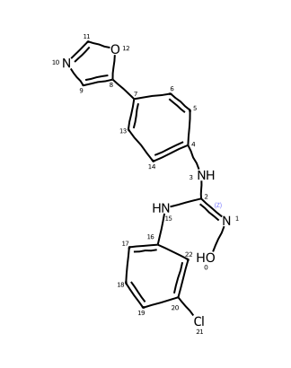 O/N=C(/Nc1ccc(-c2cnco2)cc1)Nc1cccc(Cl)c1